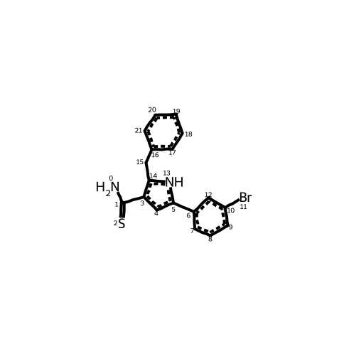 NC(=S)c1cc(-c2cccc(Br)c2)[nH]c1Cc1ccccc1